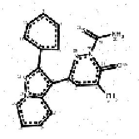 Cc1cc(-c2c(-c3ccccc3)nn3ccccc23)nn(C(N)=S)c1=O